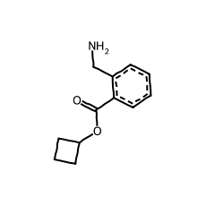 NCc1ccccc1C(=O)OC1CCC1